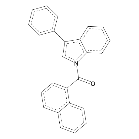 O=C(c1cccc2ccccc12)n1cc(-c2ccccc2)c2ccccc21